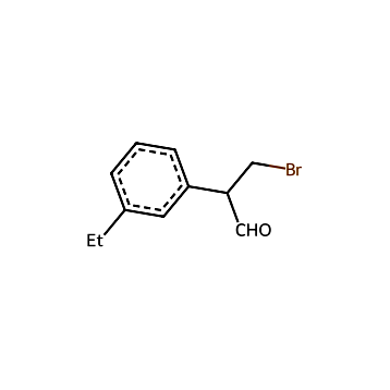 CCc1cccc(C(C=O)CBr)c1